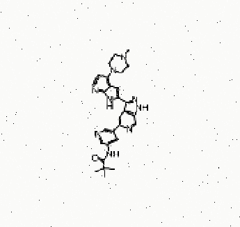 CN1CCN(c2ccnc3[nH]c(-c4n[nH]c5cnc(-c6cncc(NC(=O)C(C)(C)C)c6)cc45)cc23)CC1